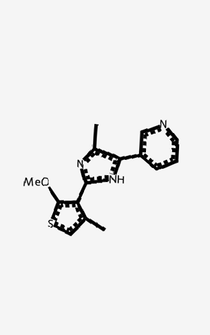 COc1scc(C)c1-c1nc(C)c(-c2cccnc2)[nH]1